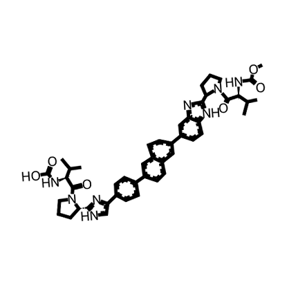 COC(=O)N[C@H](C(=O)N1CCCC1c1nc2cc(-c3ccc4cc(-c5ccc(-c6c[nH]c([C@@H]7CCCN7C(=O)[C@@H](NC(=O)O)C(C)C)n6)cc5)ccc4c3)ccc2[nH]1)C(C)C